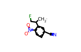 [CH2]C(CF)c1cc(C#N)ccc1[N+](=O)[O-]